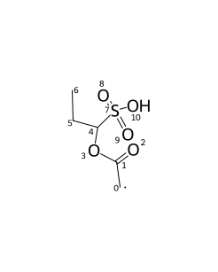 [CH2]C(=O)OC(CC)S(=O)(=O)O